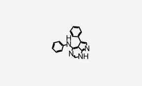 c1ccc(Nc2nc[nH]c3ncc(-c4ccccc4)c2-3)cc1